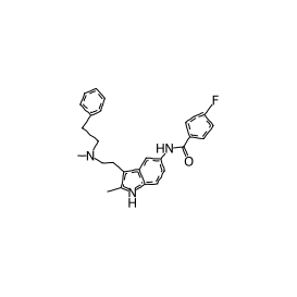 Cc1[nH]c2ccc(NC(=O)c3ccc(F)cc3)cc2c1CCN(C)CCc1ccccc1